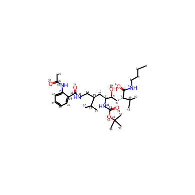 CCCCNC(=O)[C@@H](C[C@H](O)[C@H](C[C@H](CNC(=O)c1ccccc1NC(C)=O)C(C)C)NC(=O)OC(C)(C)C)C(C)C